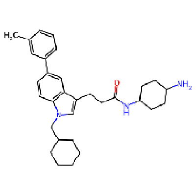 Cc1cccc(-c2ccc3c(c2)c(CCC(=O)NC2CCC(N)CC2)cn3CC2CCCCC2)c1